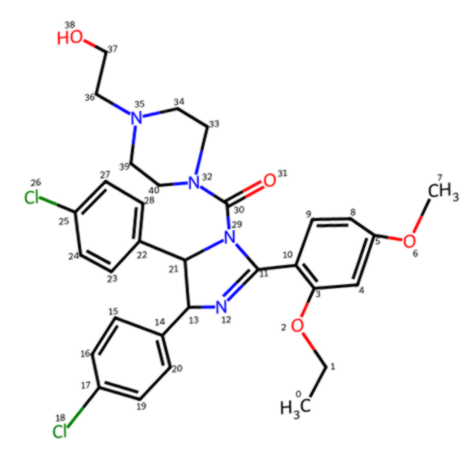 CCOc1cc(OC)ccc1C1=NC(c2ccc(Cl)cc2)C(c2ccc(Cl)cc2)N1C(=O)N1CCN(CCO)CC1